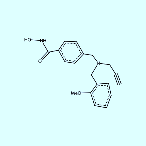 C#CCN(Cc1ccc(C(=O)NO)cc1)Cc1ccccc1OC